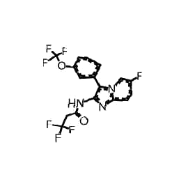 O=C(CC(F)(F)F)Nc1nc2ccc(F)cn2c1-c1cccc(OC(F)(F)F)c1